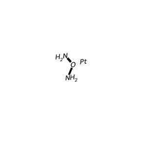 NON.[Pt]